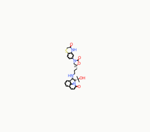 CC(C)(O)[C@H]1[C@H](NCCC[C@@H]2CN(c3ccc4c(c3)NC(=O)CS4)C(=O)O2)c2cccc3ccc(=O)n1c23